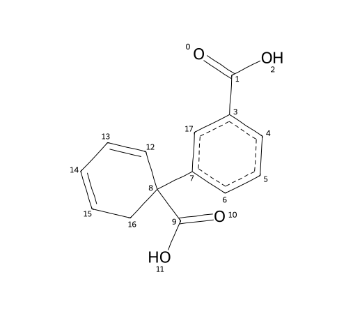 O=C(O)c1cccc(C2(C(=O)O)C=CC=CC2)c1